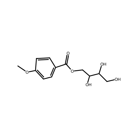 COc1ccc(C(=O)OCC(O)C(O)CO)cc1